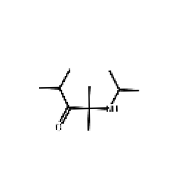 CC(C)NC(C)(C)C(=O)C(C)C